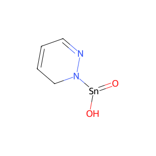 [O]=[Sn]([OH])[N]1CC=CC=N1